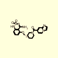 NC1=NS(=O)(=O)Nc2cccc(OC[C@H]3CCCN(C(=O)c4ccn5ccnc5c4)C3)c21